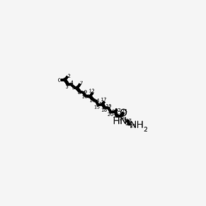 CC(C)=CCC/C(C)=C/CC/C(C)=C/CC/C(C)=C/CC/C(C)=C/C(=O)NCCN